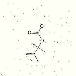 C=C(C)C(C)(C)OC([O])=O